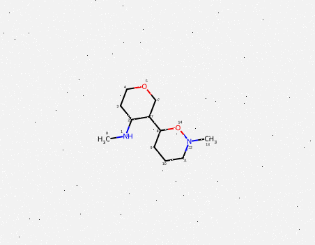 CNC1CCOCC1C1CCCN(C)O1